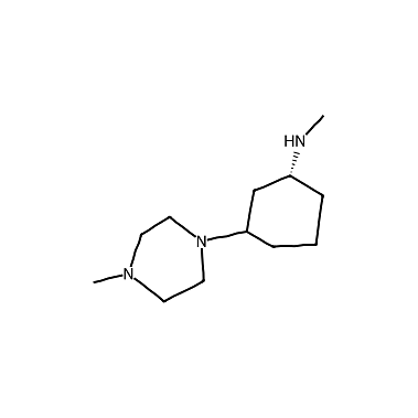 CN[C@@H]1CCCC(N2CCN(C)CC2)C1